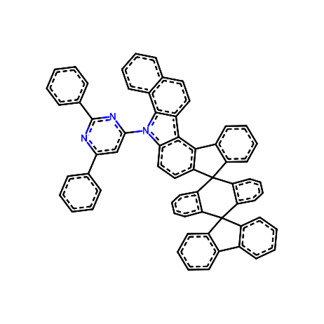 c1ccc(-c2cc(-n3c4ccc5c(c4c4ccc6ccccc6c43)-c3ccccc3C53c4ccccc4C4(c5ccccc5-c5ccccc54)c4ccccc43)nc(-c3ccccc3)n2)cc1